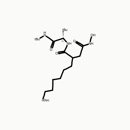 CCCCCCCCCCCCCCCCC(CC(=O)NO)C(=O)N[C@H](C(=O)NC(C)(C)C)C(C)(C)C